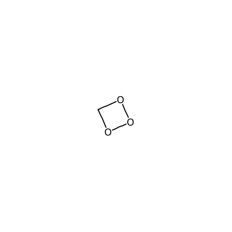 C1OOO1